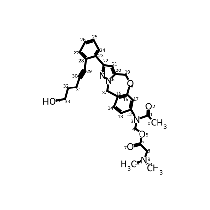 CC(=O)N(COC(=O)CN(C)C)c1ccc2c(c1)OCc1cc(-c3ccccc3C#CCCCO)nn1C2